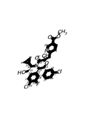 COC(=O)c1ccc(C[C@@]2(C)O[C@H](c3cccc(Cl)c3)[C@@H](c3ccc(Cl)c(F)c3)N([C@H](CO)C3CC3)C2=O)nc1